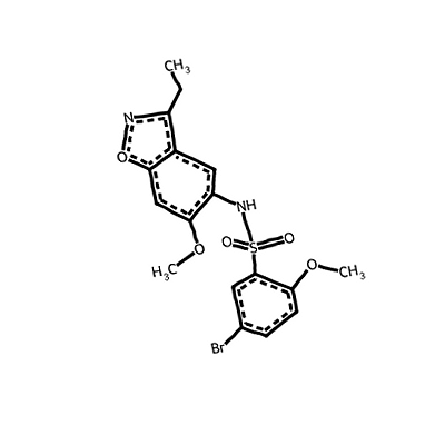 CCc1noc2cc(OC)c(NS(=O)(=O)c3cc(Br)ccc3OC)cc12